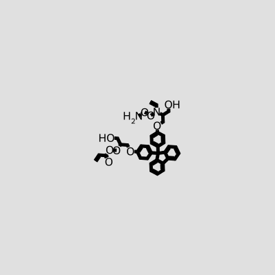 C=CC(=O)OOC(CO)COC1=CC=C(C2(c3ccc(OCC(CO)N(C=C)OON)cc3)c3ccccc3-c3ccccc32)CC1